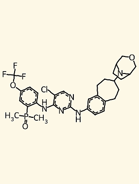 CP(C)(=O)c1cc(OC(F)(F)F)ccc1Nc1nc(Nc2ccc3c(c2)CCC(N2C4CCC2COC4)CC3)ncc1Cl